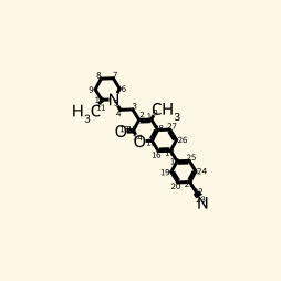 Cc1c(CCN2CCCCC2C)c(=O)oc2cc(-c3ccc(C#N)cc3)ccc12